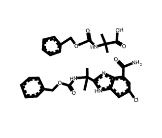 CC(C)(NC(=O)OCc1ccccc1)C(=O)O.CC(C)(NC(=O)OCc1ccccc1)c1nc2c(C(N)=O)cc(Cl)cc2[nH]1